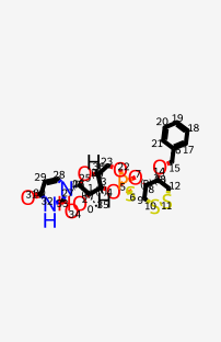 C[C@@]1(O)[C@@H]2OP(=S)(O[C@H]3CSSC[C@@H]3OCc3ccccc3)OC[C@H]2O[C@H]1n1ccc(=O)[nH]c1=O